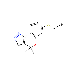 CC(C)CSc1ccc2c(c1)OC(C)(C)c1[se]nnc1-2